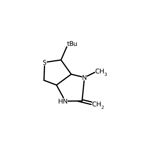 C=C1NC2CSC(C(C)(C)C)C2N1C